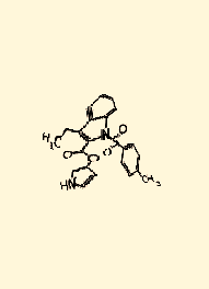 CCc1c(C(=O)Oc2cc[nH]c2)n(S(=O)(=O)c2ccc(C)cc2)c2ccccc12